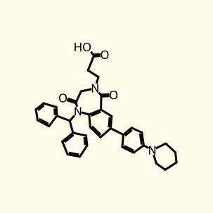 O=C(O)CCN1CC(=O)N(C(c2ccccc2)c2ccccc2)c2ccc(-c3ccc(N4CCCCC4)cc3)cc2C1=O